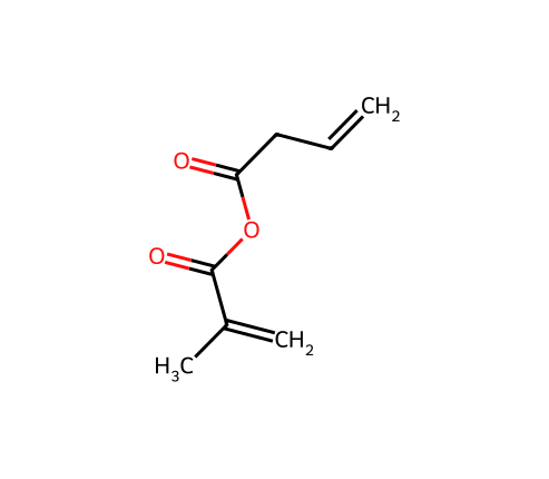 C=CCC(=O)OC(=O)C(=C)C